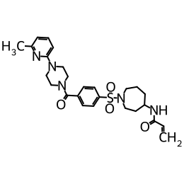 C=CC(=O)NC1CCCN(S(=O)(=O)c2ccc(C(=O)N3CCN(c4cccc(C)n4)CC3)cc2)CC1